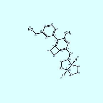 Cc1cc(O[C@@H]2CO[C@H]3OCC[C@H]32)c2c(c1-c1cccc(CO)c1)CC2